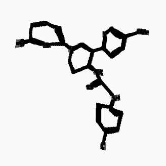 COc1ccc(C2CN(c3cccc(O)n3)CCC2NC(=O)Nc2ccc(Cl)cc2)nc1